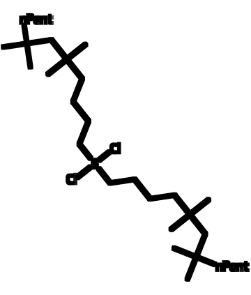 CCCCCC(C)(C)CC(C)(C)CCCCS(Cl)(Cl)CCCCC(C)(C)CC(C)(C)CCCCC